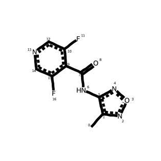 Cc1nonc1NC(=O)c1c(F)cncc1F